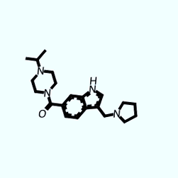 CC(C)N1CCN(C(=O)c2ccc3c(CN4CCCC4)c[nH]c3c2)CC1